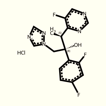 C[C@@H](c1ncncc1F)[C@](O)(Cn1cncn1)c1ccc(F)cc1F.Cl